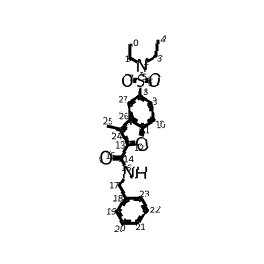 CCN(CC)S(=O)(=O)c1ccc2oc(C(=O)NCc3ccccc3)c(C)c2c1